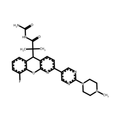 CN1CCN(c2ncc(-c3ccc4c(n3)Oc3c(F)cccc3C4C(C)(C)C(=O)NC(N)=O)cn2)CC1